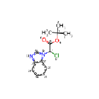 CC(C)(C)OC(=O)C(Cl)n1cnc2ccccc21